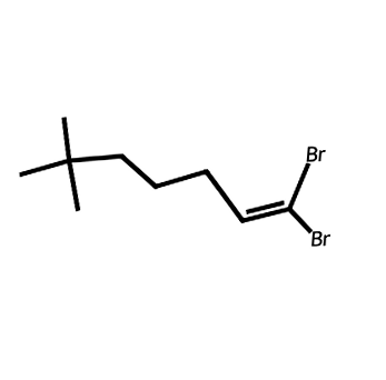 CC(C)(C)CCCC=C(Br)Br